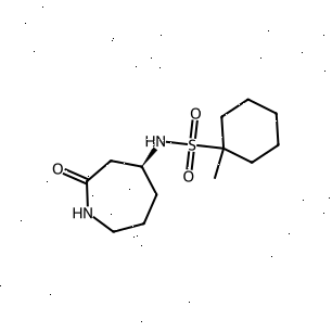 CC1(S(=O)(=O)N[C@H]2CCCNC(=O)C2)CCCCC1